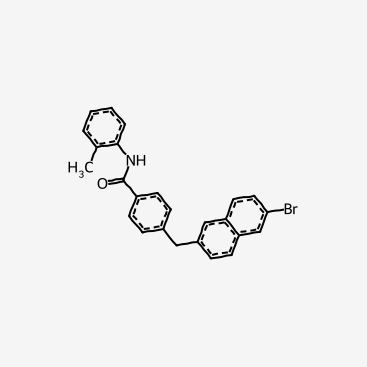 Cc1ccccc1NC(=O)c1ccc(Cc2ccc3cc(Br)ccc3c2)cc1